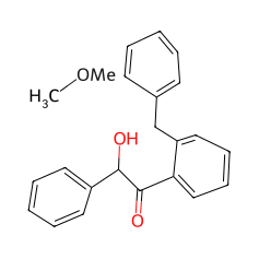 COC.O=C(c1ccccc1Cc1ccccc1)C(O)c1ccccc1